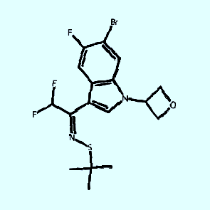 CC(C)(C)S/N=C(\c1cn(C2COC2)c2cc(Br)c(F)cc12)C(F)F